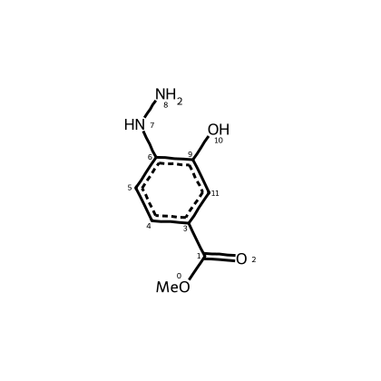 COC(=O)c1ccc(NN)c(O)c1